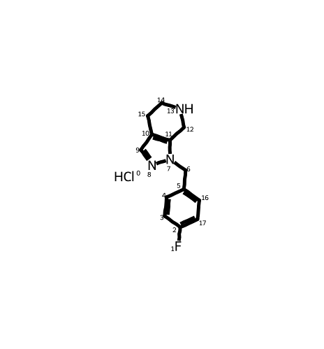 Cl.Fc1ccc(Cn2ncc3c2CNCC3)cc1